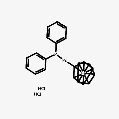 Cl.Cl.c1ccc([P]([Pd][C]23[CH]4[CH]5[CH]6[CH]2[Fe]56432789[CH]3[CH]2[CH]7[CH]8[CH]39)c2ccccc2)cc1